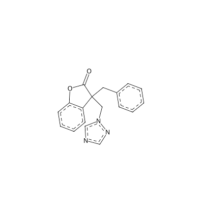 O=C1Oc2ccccc2C1(Cc1ccccc1)Cn1cncn1